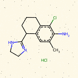 Cc1cc2c(c(Cl)c1N)CCCC2C1=NCCN1.Cl